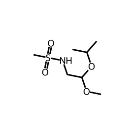 COC(CNS(C)(=O)=O)OC(C)C